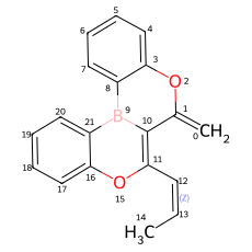 C=C1Oc2ccccc2B2C1=C(/C=C\C)Oc1ccccc12